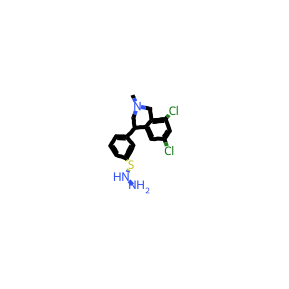 CN1Cc2c(Cl)cc(Cl)cc2C(c2cccc(SNN)c2)C1